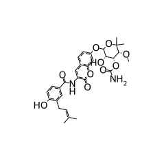 CO[C@@H]1[C@H](OC(N)=O)[C@H](O)C(Oc2ccc3cc(NC(=O)c4ccc(O)c(CC=C(C)C)c4)c(=O)oc3c2)OC1(C)C